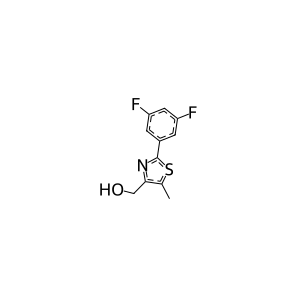 Cc1sc(-c2cc(F)cc(F)c2)nc1CO